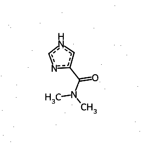 CN(C)C(=O)c1c[nH]cn1